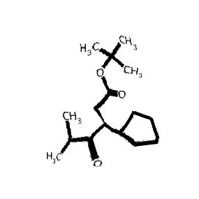 CC(C)C(=O)[C@@H](CC(=O)OC(C)(C)C)C1CCCC1